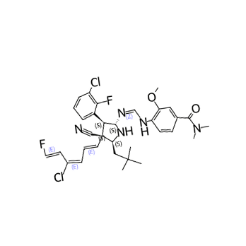 COc1cc(C(=O)N(C)C)ccc1N/C=N\[C@@H]1N[C@@H](CC(C)(C)C)[C@](C#N)(/C=C/C=C(Cl)\C=C\F)[C@H]1c1cccc(Cl)c1F